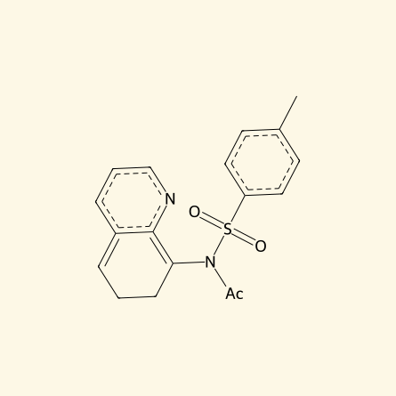 CC(=O)N(C1=c2ncccc2=CCC1)S(=O)(=O)c1ccc(C)cc1